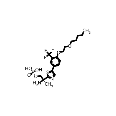 CCCCCOCCOc1ccc(-c2cnc([C@@](C)(N)COP(=O)(O)O)s2)cc1C(F)(F)F